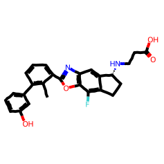 Cc1c(-c2cccc(O)c2)cccc1-c1nc2cc3c(c(F)c2o1)CC[C@H]3NCCC(=O)O